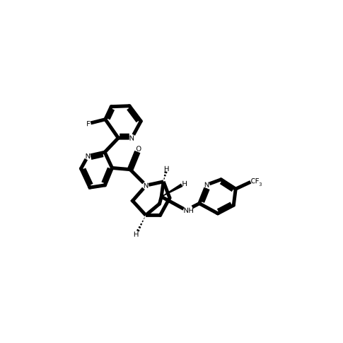 O=C(c1cccnc1-c1ncccc1F)N1C[C@@H]2CC[C@H]1[C@H](Nc1ccc(C(F)(F)F)cn1)C2